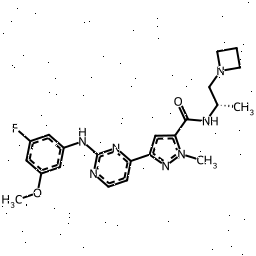 COc1cc(F)cc(Nc2nccc(-c3cc(C(=O)N[C@@H](C)CN4CCC4)n(C)n3)n2)c1